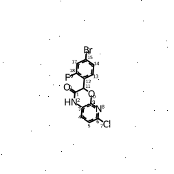 O=C1Nc2ccc(Cl)nc2OC1c1ccc(Br)cc1F